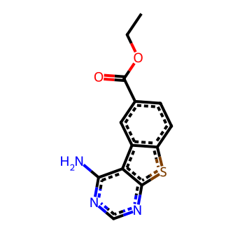 CCOC(=O)c1ccc2sc3ncnc(N)c3c2c1